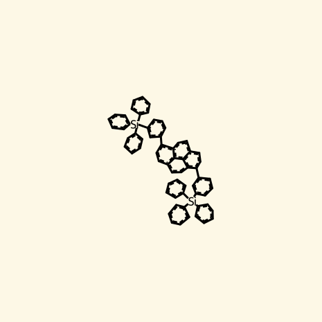 c1ccc([Si](c2ccccc2)(c2ccccc2)c2cccc(-c3ccc4ccc5c(-c6cccc([Si](c7ccccc7)(c7ccccc7)c7ccccc7)c6)ccc6ccc3c4c65)c2)cc1